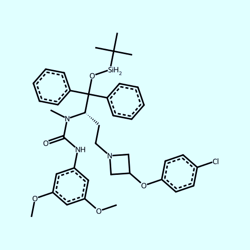 COc1cc(NC(=O)N(C)[C@@H](CCN2CC(Oc3ccc(Cl)cc3)C2)C(O[SiH2]C(C)(C)C)(c2ccccc2)c2ccccc2)cc(OC)c1